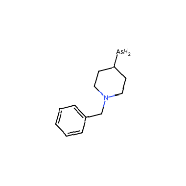 [AsH2]C1CCN(Cc2ccccc2)CC1